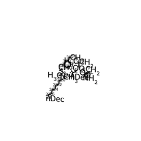 C=C(C)C(=O)OCCCCCCCCCCCC.C=CC(N)=O.C=CC[N+](C)(C)CCCCCCCCCCCCCCCCCC.C=Cc1ccccc1.[Cl-]